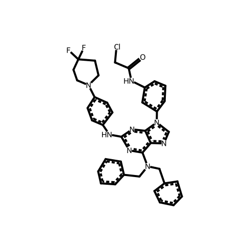 O=C(CCl)Nc1cccc(-n2cnc3c(N(Cc4ccccc4)Cc4ccccc4)nc(Nc4ccc(N5CCC(F)(F)CC5)cc4)nc32)c1